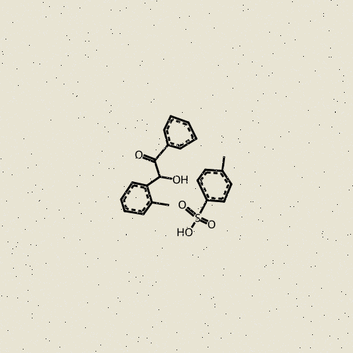 Cc1ccc(S(=O)(=O)O)cc1.Cc1ccccc1C(O)C(=O)c1ccccc1